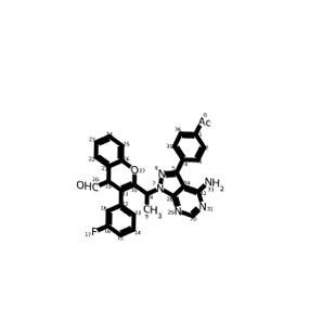 CC(=O)c1ccc(-c2nn(C(C)C3=C(c4cccc(F)c4)C(C=O)c4ccccc4O3)c3ncnc(N)c23)cc1